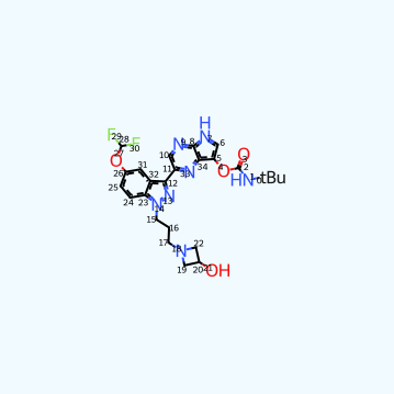 CC(C)(C)NC(=O)Oc1c[nH]c2ncc(-c3nn(CCCN4CC(O)C4)c4ccc(OC(F)F)cc34)nc12